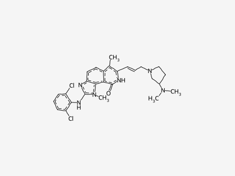 Cc1c(C=CCN2CCC(N(C)C)C2)[nH]c(=O)c2c1ccc1nc(Nc3c(Cl)cccc3Cl)n(C)c12